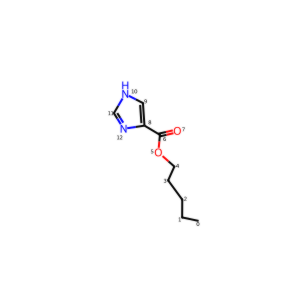 CCCCCOC(=O)c1c[nH]cn1